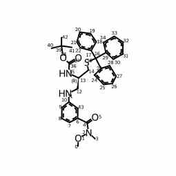 CON(C)C(=O)c1cccc(NC[C@H](CSC(c2ccccc2)(c2ccccc2)c2ccccc2)NC(=O)OC(C)(C)C)c1